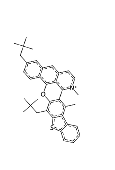 Cc1c2c(c(CC(C)(C)C)c3sc4ccccc4c13)Oc1c3ccc(CC(C)(C)C)cc3cc3cc[n+](C)c-2c13